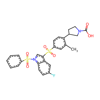 Cc1cc(S(=O)(=O)c2cn(S(=O)(=O)c3ccccc3)c3ccc(F)cc23)ccc1C1CCN(C(=O)O)C1